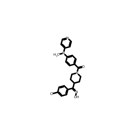 CN(c1ccncc1)c1ccc(C(=O)N2CCC(C(=NO)c3ccc(Cl)cc3)CC2)cc1